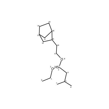 CCO[SiH](CC(C)C)OCCC1CC2CCC1C2